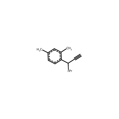 [C]#CC(CCC)c1ccc(C)cc1C